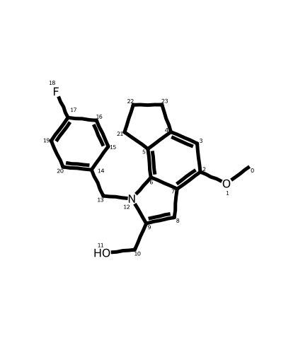 COc1cc2c(c3c1cc(CO)n3Cc1ccc(F)cc1)CCC2